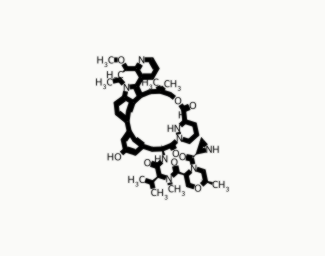 CCn1c(-c2cccnc2[C@H](C)OC)c2c3cc(ccc31)-c1cc(O)cc(c1)C[C@H](NC(=O)[C@H](C(C)C)N(C)C(=O)[C@@H]1CO[C@H](C)CN1C(=O)[C@@H]1CN1)C(=O)N1CCC[C@H](N1)C(=O)OCC(C)(C)C2